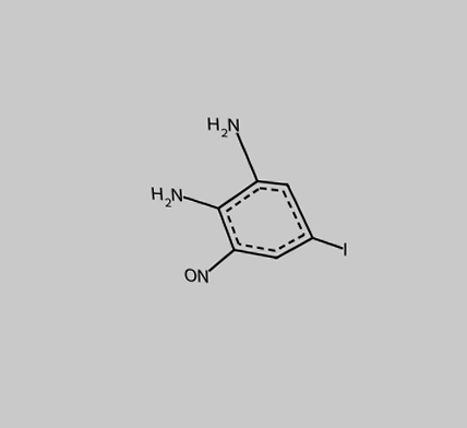 Nc1cc(I)cc(N=O)c1N